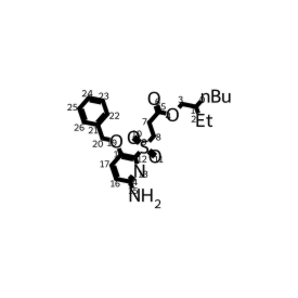 CCCCC(CC)COC(=O)CCS(=O)(=O)c1nc(N)ccc1OCc1ccccc1